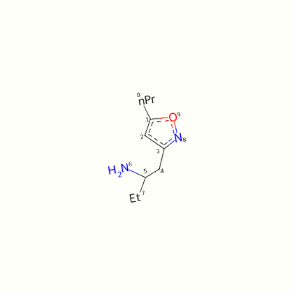 CCCc1cc(CC(N)CC)no1